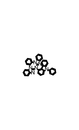 c1ccc(-n2c3ccccc3c3c(-n4c5nc6ccccc6n5c5ccccc5n5c6ccccc6nc45)cccc32)cc1